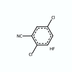 F.N#Cc1cc(Cl)ccc1Cl